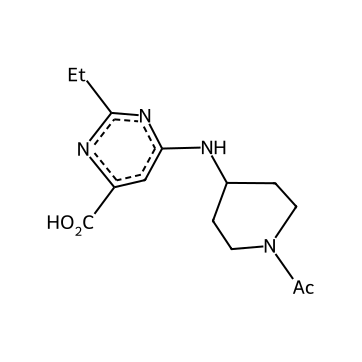 CCc1nc(NC2CCN(C(C)=O)CC2)cc(C(=O)O)n1